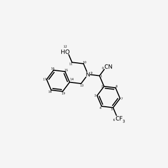 N#CC(c1ccc(C(F)(F)F)cc1)N(CCO)Cc1ccccc1